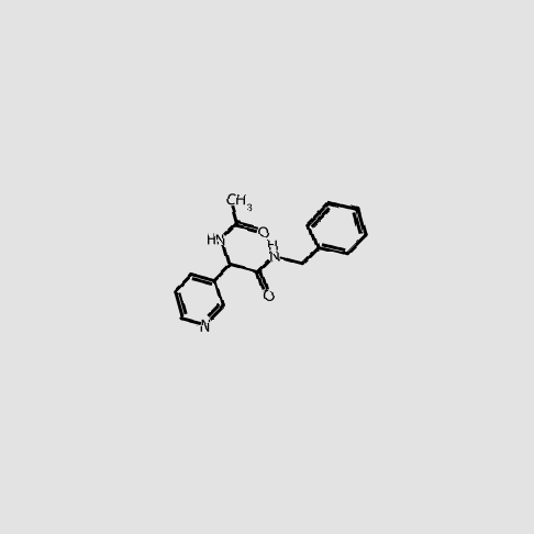 CC(=O)NC(C(=O)NCc1ccccc1)c1cccnc1